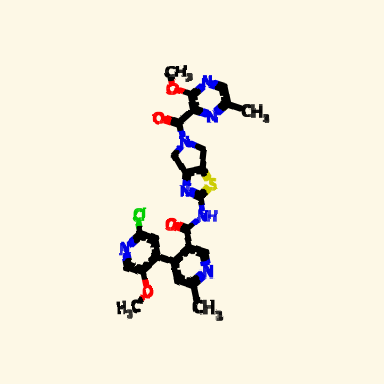 COc1cnc(Cl)cc1-c1cc(C)ncc1C(=O)Nc1nc2c(s1)CN(C(=O)c1nc(C)cnc1OC)C2